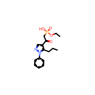 CCCc1c(C(=O)CP(=O)(O)OCC)cnn1-c1ccccc1